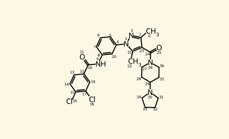 Cc1nn(-c2cccc(NC(=O)c3ccc(Cl)c(Cl)c3)c2)c(C)c1C(=O)N1CCC(N2CCCC2)CC1